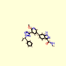 CC[C@H](c1ccccc1)n1nnc(-c2cc(-c3ccc4c(C(=O)NC)n[nH]c4c3)cnc2OC)n1